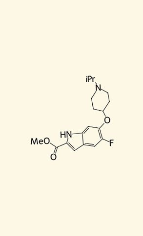 COC(=O)c1cc2cc(F)c(OC3CCN(C(C)C)CC3)cc2[nH]1